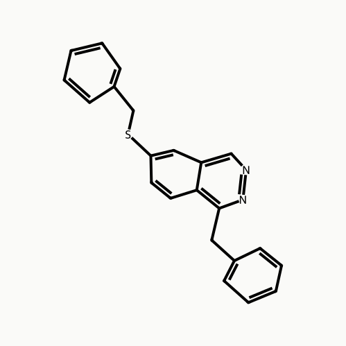 c1ccc(CSc2ccc3c(Cc4ccccc4)nncc3c2)cc1